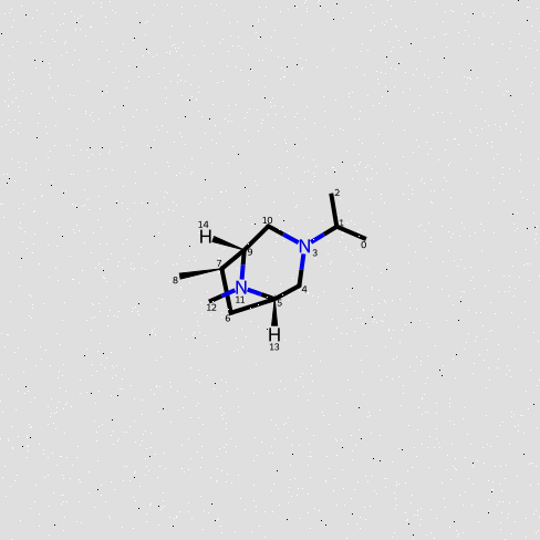 CC(C)N1C[C@@H]2C[C@@H](C)[C@H](C1)N2C